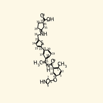 Cc1ccc(OC2CNC2)cc1C(=O)N[C@H](C)c1cccc(-c2ccc(CN[C@H]3CC[C@@H](C(=O)O)C3)s2)c1